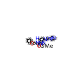 COc1nc2c(N3CC(N4CCN(C)CC4)C3)cccc2n1C(=O)NCCOc1ccccc1